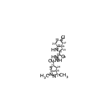 Cc1nn(C)c2sc(C(=O)NNC(=O)c3cc4cc(Cl)ccc4[nH]3)cc12